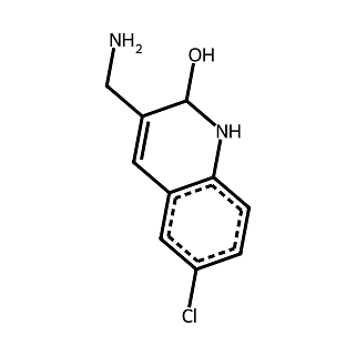 NCC1=Cc2cc(Cl)ccc2NC1O